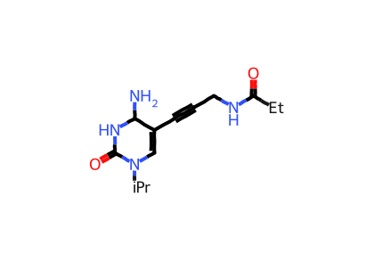 CCC(=O)NCC#CC1=CN(C(C)C)C(=O)NC1N